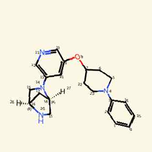 c1ccc(N2CCC(Oc3cncc(N4C[C@H]5C[C@@H]4CN5)c3)CC2)cc1